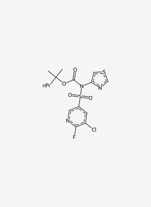 CCCC(C)(C)OC(=O)N(c1cscn1)S(=O)(=O)c1cnc(F)c(Cl)c1